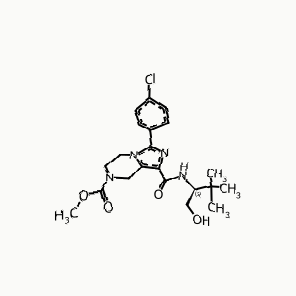 COC(=O)N1CCn2c(-c3ccc(Cl)cc3)nc(C(=O)N[C@H](CO)C(C)(C)C)c2C1